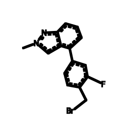 Cn1cc2c(-c3ccc(CBr)c(F)c3)cccc2n1